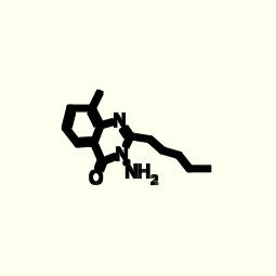 CCCCCc1nc2c(C)cccc2c(=O)n1N